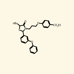 CCCCC1SC(c2cccc(Oc3ccccc3)c2)N(CCCOc2ccc(C(=O)OCC)cc2)C1=O